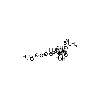 Cc1ncsc1-c1ccc(CNC(=O)[C@@H]2C[C@@H](O)CN2C(=O)[C@@H](NC(=O)CCOCCOCCOCCOCCC(N)=O)C(C)(C)C)cc1